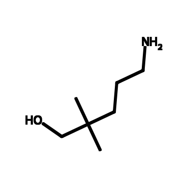 CC(C)(CO)CCCN